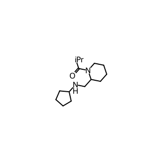 CC(C)C(=O)N1CCCCC1CNC1CCCC1